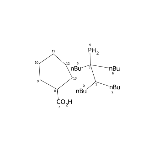 CCCCC(CCCC)C(P)(CCCC)CCCC.O=C(O)C1CCCCC1